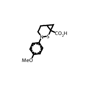 COc1ccc(N2CCC3CC3(C(=O)O)S2)cc1